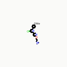 COc1ccc(-c2cc(Cl)cc(-c3ccc(OCCCN(C)C)nc3)n2)cc1